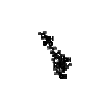 CC[C@H]1[C@@H](O)[C@@H]2[C@H](CC[C@]3(C)[C@@H](CCCOC(=O)NC4CCC4)CC[C@@H]23)[C@@]2(C)CC[C@@H](O)C[C@@H]12